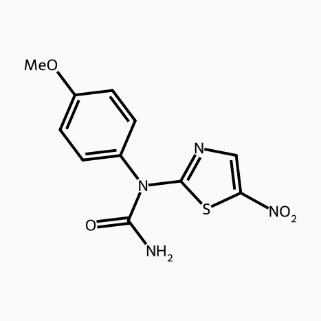 COc1ccc(N(C(N)=O)c2ncc([N+](=O)[O-])s2)cc1